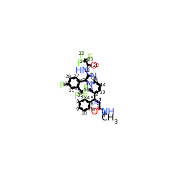 CNC(=O)/C=C(\c1ccccc1)c1ccc2nc(NC(=O)C(F)(F)F)c(-c3ccc(F)cc3C(F)(F)F)n2c1